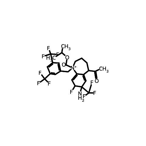 CC(=O)C1CCC[N+](Cc2cc(C(F)(F)F)cc(C(F)(F)F)c2)(C(=O)OC(C)C)C2=CC(F)C(N)(C(F)(F)F)C=C21